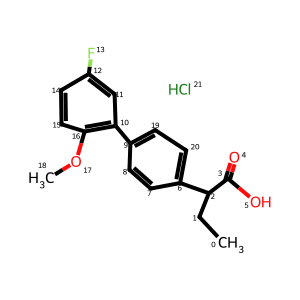 CCC(C(=O)O)c1ccc(-c2cc(F)ccc2OC)cc1.Cl